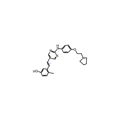 Cc1ccc(O)cc1/C=C/c1cnc(Nc2ccc(OCCN3CCCC3)cc2)nc1